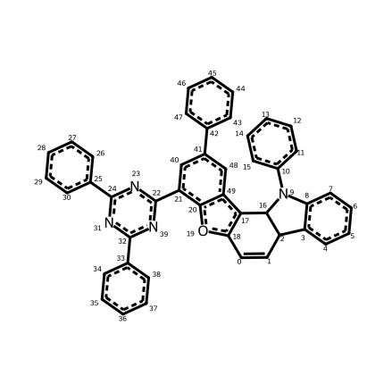 C1=CC2c3ccccc3N(c3ccccc3)C2c2c1oc1c(-c3nc(-c4ccccc4)nc(-c4ccccc4)n3)cc(-c3ccccc3)cc21